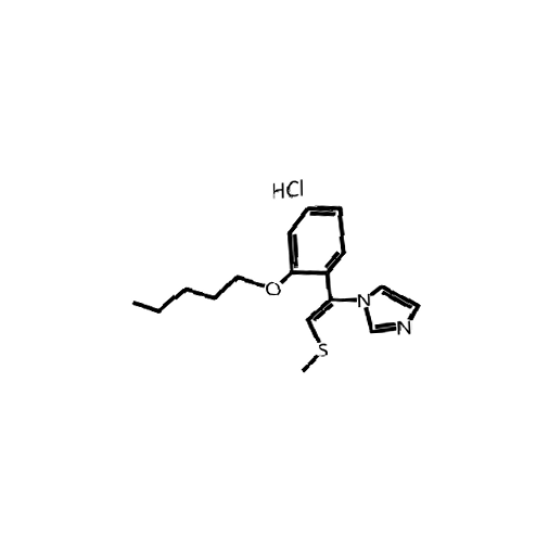 CCCCCOc1ccccc1C(=CSC)n1ccnc1.Cl